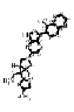 Cc1csc(C2(CN)[C@@H]3CN(c4cnc5c(-c6ccc7nccnc7c6Cl)n[nH]c5n4)C[C@@H]32)n1